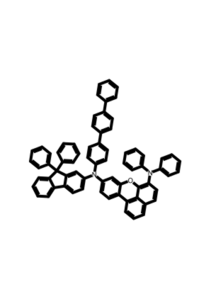 c1ccc(-c2ccc(-c3ccc(N(c4ccc5c(c4)Oc4c(N(c6ccccc6)c6ccccc6)ccc6cccc-5c46)c4ccc5c(c4)C(c4ccccc4)(c4ccccc4)c4ccccc4-5)cc3)cc2)cc1